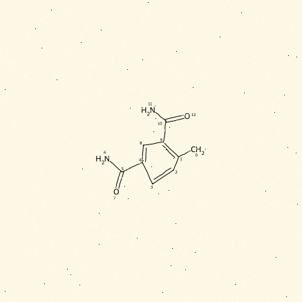 [CH2]c1ccc(C(N)=O)cc1C(N)=O